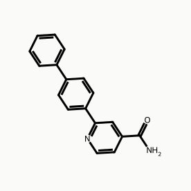 NC(=O)c1ccnc(-c2ccc(-c3ccccc3)cc2)c1